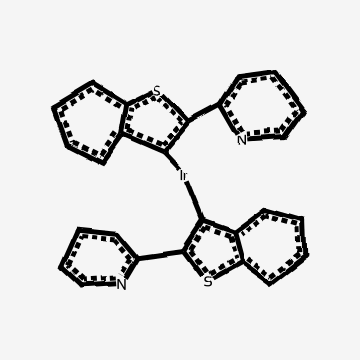 c1ccc(-c2sc3ccccc3[c]2[Ir][c]2c(-c3ccccn3)sc3ccccc23)nc1